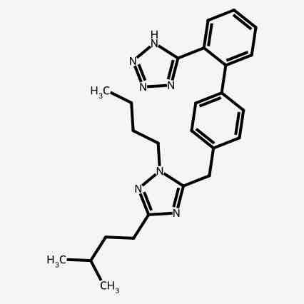 CCCCn1nc(CCC(C)C)nc1Cc1ccc(-c2ccccc2-c2nnn[nH]2)cc1